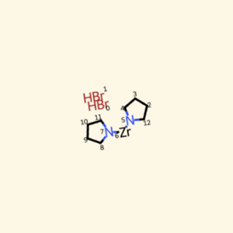 Br.Br.C1CC[N]([Zr][N]2CCCC2)C1